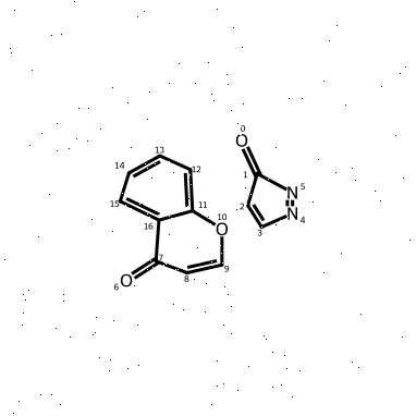 O=C1C=CN=N1.O=c1ccoc2ccccc12